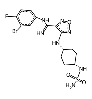 N=C(Nc1ccc(F)c(Br)c1)c1nonc1N[C@H]1CC[C@@H](NS(N)(=O)=O)CC1